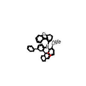 COc1ccccc1N(c1ccc(-c2ccccc2)cc1-c1cccc2ccccc12)c1cccc2oc3ccccc3c12